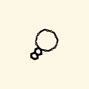 c1ccc2cc3c(cc2c1)OCCOCCOCCOCCOCCO3